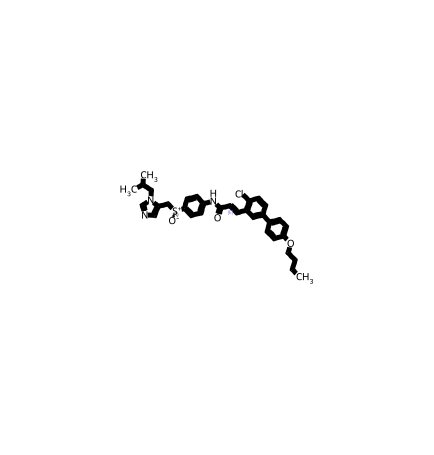 CCCCOc1ccc(-c2ccc(Cl)c(/C=C/C(=O)Nc3ccc([S@@+]([O-])Cc4cncn4CC(C)C)cc3)c2)cc1